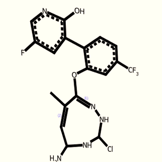 CC1=C/C(N)NC(Cl)N/N=C\1Oc1cc(C(F)(F)F)ccc1-c1cc(F)cnc1O